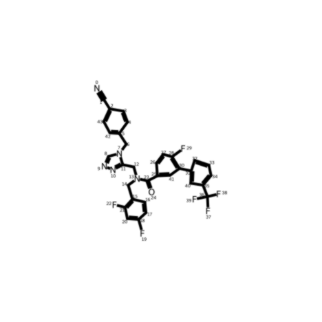 N#Cc1ccc(Cn2cnnc2CN(Cc2ccc(F)cc2F)C(=O)c2ccc(F)c(-c3cccc(C(F)(F)F)c3)c2)cc1